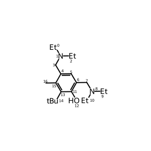 CCN(CC)Cc1cc(CN(CC)CC)c(O)c(C(C)(C)C)c1C